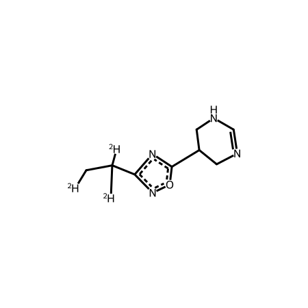 [2H]CC([2H])([2H])c1noc(C2CN=CNC2)n1